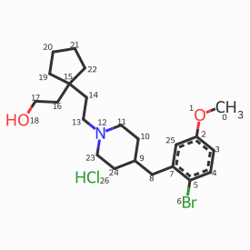 COc1ccc(Br)c(CC2CCN(CCC3(CCO)CCCC3)CC2)c1.Cl